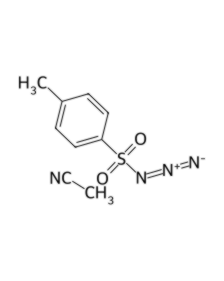 CC#N.Cc1ccc(S(=O)(=O)N=[N+]=[N-])cc1